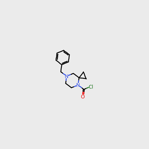 O=C(Cl)N1CCN(Cc2ccccc2)CC12CC2